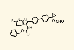 O=COC1(c2ccc(-c3ccc(-c4oc5nc(F)ccc5c4NC(=O)OCc4ccccc4)cc3)cc2)CC1